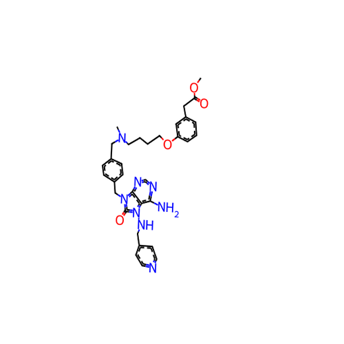 COC(=O)Cc1cccc(OCCCCN(C)Cc2ccc(Cn3c(=O)n(NCc4ccncc4)c4c(N)ncnc43)cc2)c1